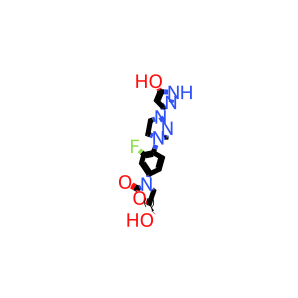 O=C1O[C@@H](CO)CN1c1ccc(N2C=NN(c3cc(O)[nH]n3)CC2)c(F)c1